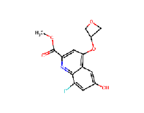 COC(=O)c1cc(OC2COC2)c2cc(O)cc(F)c2n1